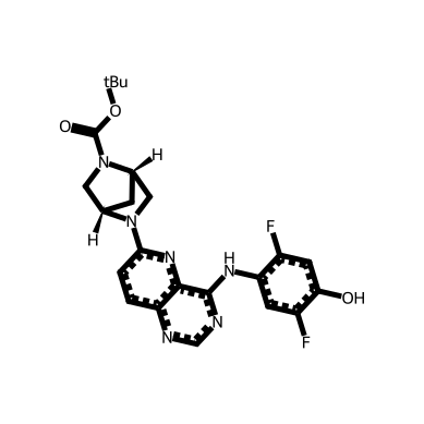 CC(C)(C)OC(=O)N1C[C@@H]2C[C@H]1CN2c1ccc2ncnc(Nc3cc(F)c(O)cc3F)c2n1